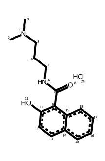 CN(C)CCCNC(=O)c1c(O)ccc2ccccc12.Cl